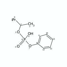 CC(C)C(C)OP(=O)(O)Oc1ccccc1